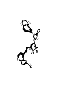 COc1ccc2nccc(CC[C@@H](CC[C@H]3CN(c4ccc5c(c4)OCCO5)C(=O)O3)NS(C)(=O)=O)c2n1